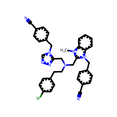 Cn1c(CN(CCc2ccc(Br)cc2)Cc2nncn2Cc2ccc(C#N)cc2)[n+](Cc2ccc(C#N)cc2)c2ccccc21